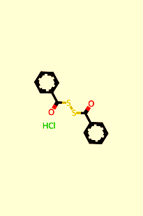 Cl.O=C(SSC(=O)c1ccccc1)c1ccccc1